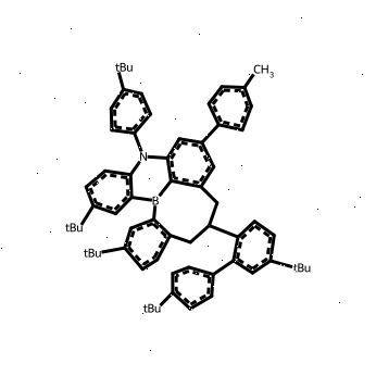 Cc1ccc(-c2cc3c4c(c2)N(c2ccc(C(C)(C)C)cc2)c2ccc(C(C)(C)C)cc2B4c2cc(C(C)(C)C)ccc2CC(c2ccc(C(C)(C)C)cc2-c2ccc(C(C)(C)C)cc2)C3)cc1